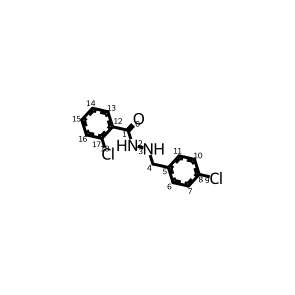 O=C(NNCc1ccc(Cl)cc1)c1ccccc1Cl